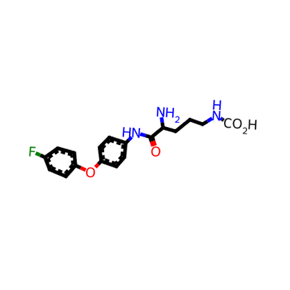 NC(CCCNC(=O)O)C(=O)Nc1ccc(Oc2ccc(F)cc2)cc1